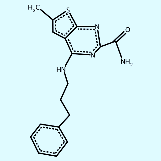 Cc1cc2c(NCCCc3ccccc3)nc(C(N)=O)nc2s1